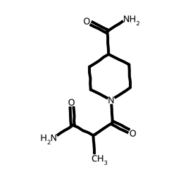 C[C](C(N)=O)C(=O)N1CCC(C(N)=O)CC1